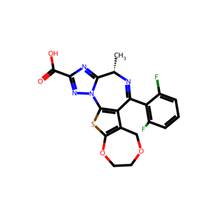 C[C@@H]1N=C(c2c(F)cccc2F)c2c(sc3c2COCCO3)-n2nc(C(=O)O)nc21